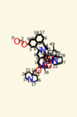 COCOc1cc(-c2cc3cc(OCC45CCCN4CCC5)nc(N4CC5CCC(C4)N5C(=O)OC(C)(C)C)c3cn2)c2c(C#C[Si](C(C)C)(C(C)C)C(C)C)cccc2c1